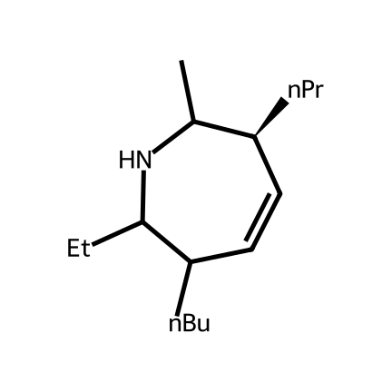 CCCCC1C=C[C@H](CCC)C(C)NC1CC